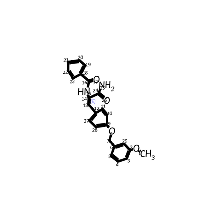 COc1cccc(COc2ccc(/C=C(/NC(=O)c3ccccc3)C(N)=O)cc2)c1